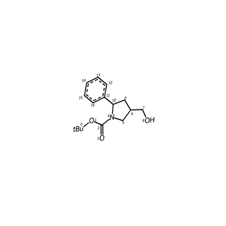 CC(C)(C)OC(=O)N1CC(CO)CC1c1ccccc1